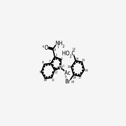 CC(=O)n1cc(C(N)=O)c2ccccc21.O=C(O)c1cccc(Br)c1